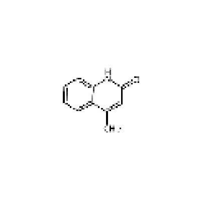 [CH2]c1cc(=O)[nH]c2ccccc12